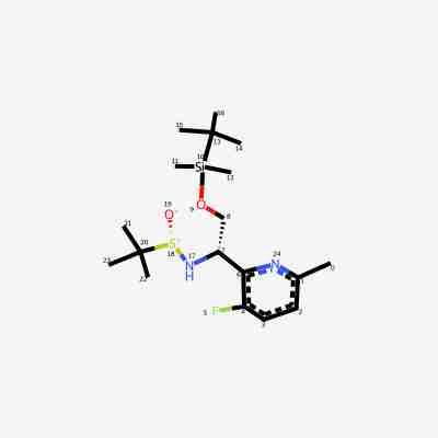 Cc1ccc(F)c([C@@H](CO[Si](C)(C)C(C)(C)C)N[S@@+]([O-])C(C)(C)C)n1